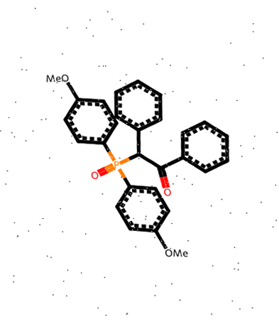 COc1ccc(P(=O)(c2ccc(OC)cc2)C(C(=O)c2ccccc2)c2ccccc2)cc1